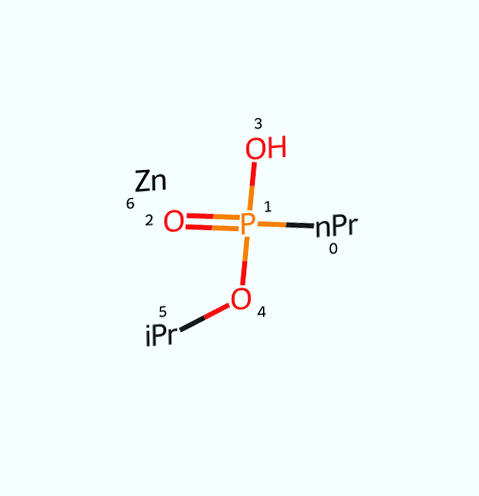 CCCP(=O)(O)OC(C)C.[Zn]